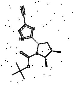 C#Cc1c[nH]c([C@@H]2C[C@@H](C)[C@@H](C)N2C(=O)OC(C)(C)C)n1